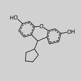 Oc1ccc2c(c1)Oc1cc(O)ccc1C2C1CCCC1